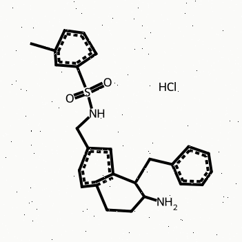 Cc1cccc(S(=O)(=O)NCc2ccc3c(c2)C(Cc2ccccc2)C(N)CC3)c1.Cl